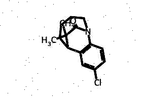 CC1(C)C(=O)N2CCCCC1c1cc(Cl)ccc12